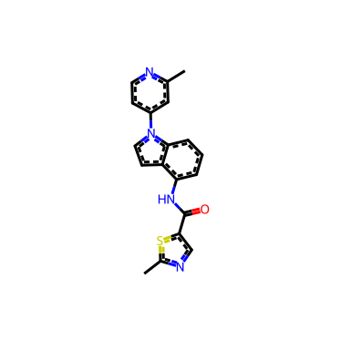 Cc1cc(-n2ccc3c(NC(=O)c4cnc(C)s4)cccc32)ccn1